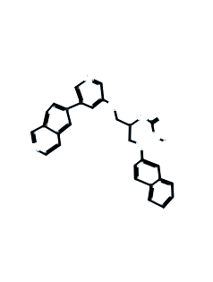 CC(C)(C)OC(=O)NC(COc1cncc(-c2ccc3cnccc3c2)c1)COc1ccc2ccccc2c1